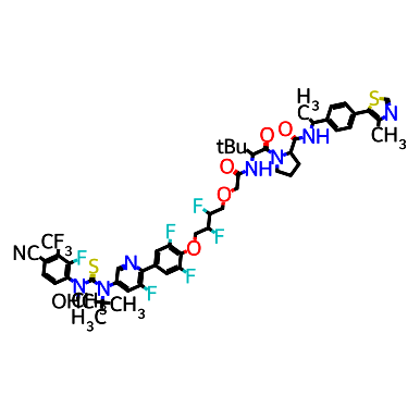 Cc1ncsc1-c1ccc(C(C)NC(=O)C2CCCN2C(=O)C(NC(=O)COCC(F)C(F)COc2c(F)cc(-c3ncc(N(C(=S)N(C)c4ccc(C#N)c(C(F)(F)F)c4F)C(C)(C)C=O)cc3F)cc2F)C(C)(C)C)cc1